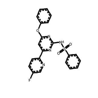 O=S(=O)(Nc1nc(Oc2ccccc2)cc(-c2ccc(F)cn2)n1)c1ccccc1